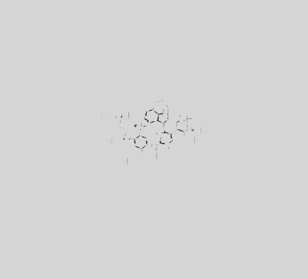 CN/C(C)=C(\C=N)c1cnc(Nc2cc([N+](=O)[O-])c(N(C)CCN(C)C)cc2OC)nc1-c1cn2c3c(cccc13)CCC2